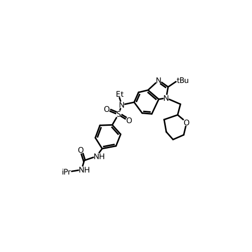 CCN(c1ccc2c(c1)nc(C(C)(C)C)n2CC1CCCCO1)S(=O)(=O)c1ccc(NC(=O)NC(C)C)cc1